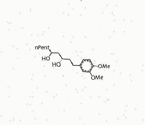 CCCCC[C@H](O)C[C@@H](O)CCc1ccc(OC)c(OC)c1